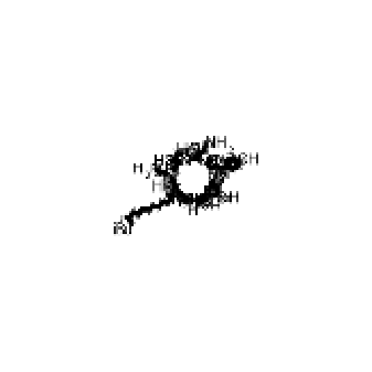 CCC(C)CC(C)CCCCCCCCC(=O)N[C@H]1C[C@@H](O)[C@H](OCCN)NC(=O)[C@@H]2[C@@H](O)CCN2C(=O)[C@H]([C@H](O)CCN)NC(=O)C([C@H](O)C(=O)c2ccc(O)cc2)NC(=O)[C@@H]2C[C@@H](O)CN2C(=O)C([C@@H](C)O)NC1=O